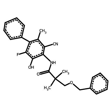 Cc1c(C#N)c(NC(=O)C(C)(C)COCc2ccccc2)c(O)c(F)c1-c1ccccc1